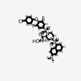 CN(C)c1ccc2c(S(=O)(=O)N3CCN(S(=O)(=O)c4cc(F)c(Oc5ccc(Cl)cc5)c(F)c4)[C@@H](C(=O)NO)C3)cccc2c1